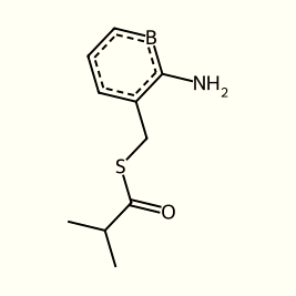 CC(C)C(=O)SCc1cccbc1N